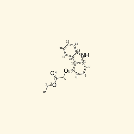 CCOC(=O)COc1cccc2[nH]c3ccccc3c12